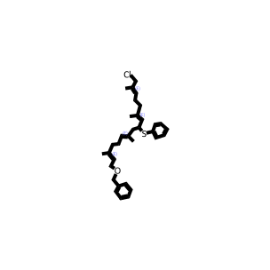 C/C(=C\CC/C(C)=C/C(C/C(C)=C/CC/C(C)=C/COCc1ccccc1)Sc1ccccc1)CCl